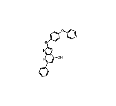 Oc1cc(-c2ccccc2)nc2nc(Nc3ccc(Oc4ccncc4)cc3)nn12